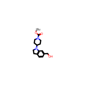 CC(C)(C)OC(=O)N1CCC(N2CCc3ccc(CO)cc32)CC1